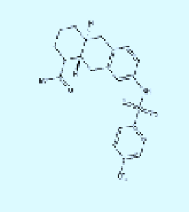 CCC(=O)N1CCC[C@H]2Cc3ccc(NS(=O)(=O)c4ccc(C(F)(F)F)cc4)cc3C[C@@H]21